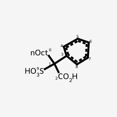 CCCCCCCCC(C(=O)O)(c1ccccc1)S(=O)(=O)O